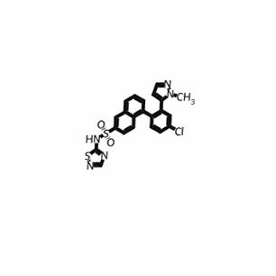 Cn1nccc1-c1cc(Cl)ccc1-c1cccc2cc(S(=O)(=O)Nc3ncns3)ccc12